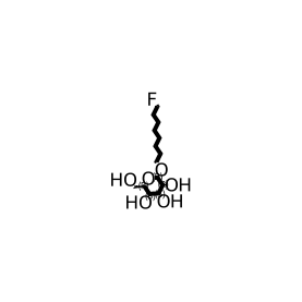 OC[C@H]1O[C@@H](OCCCCCCCCF)[C@H](O)[C@@H](O)[C@@H]1O